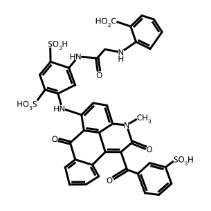 Cn1c(=O)c(C(=O)c2cccc(S(=O)(=O)O)c2)c2c3c(c(Nc4cc(NC(=O)CNc5ccccc5C(=O)O)c(S(=O)(=O)O)cc4S(=O)(=O)O)ccc31)C(=O)c1ccccc1-2